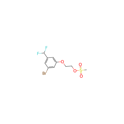 CS(=O)(=O)OCCOc1cc(Br)cc(C(F)F)c1